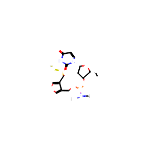 [2H]C[C@H]1O[C@@H](n2ccc(=O)[nH]c2=O)[C@@H](F)C1OP(OCc1cocc1CSSC(C)(C)C)N(C(C)C)C(C)C